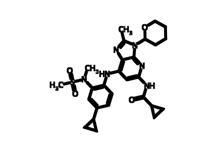 Cc1nc2c(Nc3ccc(C4CC4)cc3N(C)S(C)(=O)=O)cc(NC(=O)C3CC3)nc2n1C1CCCCO1